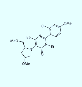 CCc1nc(-c2ccc(OC)cc2Cl)n(CC)c(=O)c1N1C[C@H](OC)C[C@H]1COC